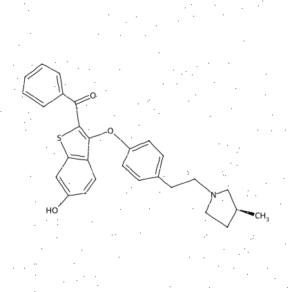 C[C@H]1CCN(CCc2ccc(Oc3c(C(=O)c4ccccc4)sc4cc(O)ccc34)cc2)C1